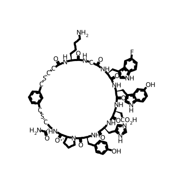 C[C@@]12CCCN1C(=O)[C@H](Cc1ccc(O)cc1)NC(=O)[C@H](Cc1cnc[nH]1)NC(=O)[C@H](CC(=O)O)NC(=O)[C@H](Cc1c[nH]c3ccc(O)cc13)NC(=O)[C@H](Cc1c[nH]c3ccc(F)cc13)NC(=O)CNC(=O)[C@H](CCCCN)NC(=O)CCSCc1cccc(c1)CSC[C@@H](C(N)=O)NC2=O